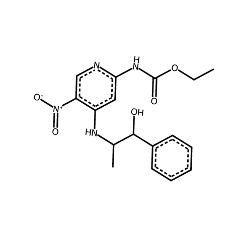 CCOC(=O)Nc1cc(NC(C)C(O)c2ccccc2)c([N+](=O)[O-])cn1